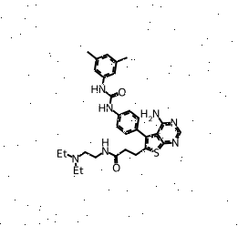 CCN(CC)CCNC(=O)CCc1sc2ncnc(N)c2c1-c1ccc(NC(=O)Nc2cc(C)cc(C)c2)cc1